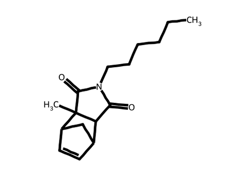 CCCCCCN1C(=O)C2C3C=CC(C3)C2(C)C1=O